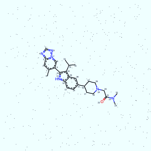 Cc1cc2ncnn2cc1-c1[nH]c2ccc(C3CCN(CC(=O)N(C)C)CC3)cc2c1C(C)C